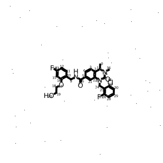 CC1c2ccc(C(=O)NCc3ccc(F)cc3OCCO)cc2N(Cc2c(F)cccc2Cl)C(=O)N1C